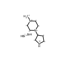 Br.Br.CN1CCN(C2CCNC2)CC1